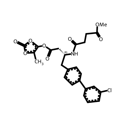 COC(=O)CCC(=O)N[C@@H](CC(=O)Oc1oc(=O)oc1C)Cc1ccc(-c2cccc(Cl)c2)cc1